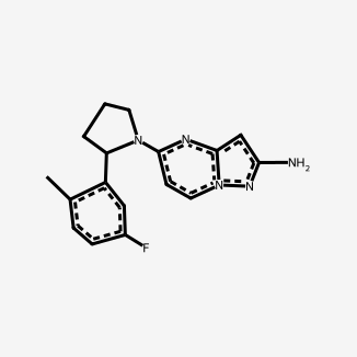 Cc1ccc(F)cc1C1CCCN1c1ccn2nc(N)cc2n1